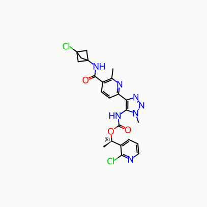 Cc1nc(-c2nnn(C)c2NC(=O)O[C@H](C)c2cccnc2Cl)ccc1C(=O)NC12CC(Cl)(C1)C2